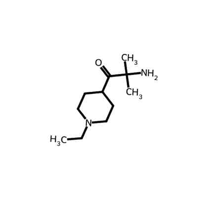 CCN1CCC(C(=O)C(C)(C)N)CC1